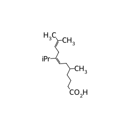 CC(C)=CC/C(=C\CC(C)CCCC(=O)O)C(C)C